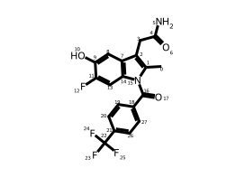 Cc1c(CC(N)=O)c2cc(O)c(F)cc2n1C(=O)c1ccc(C(F)(F)F)cc1